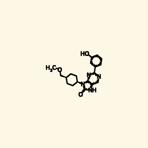 COC[C@H]1CC[C@@H](n2c(=O)[nH]c3cnc(-c4cccc(O)c4)nc32)CC1